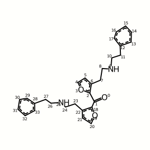 O=C(c1occc1CCNCCc1ccccc1)c1occc1CCNCCc1ccccc1